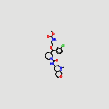 CNC[C@H](CC1CCOCC1)NC(=O)N1CCCC[C@@H]([C@@H](OCCNC(=O)OC)c2cccc(Cl)c2)C1